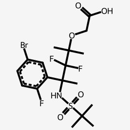 CC(C)(OCC(=O)O)C(F)(F)C(C)(NS(=O)(=O)C(C)(C)C)c1cc(Br)ccc1F